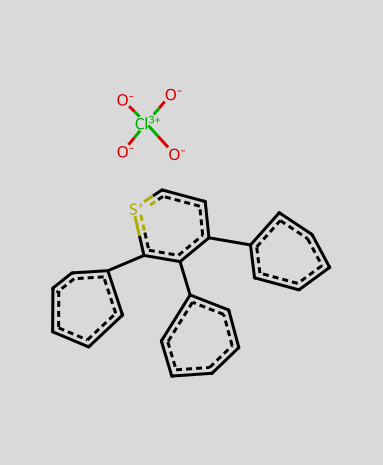 [O-][Cl+3]([O-])([O-])[O-].c1ccc(-c2cc[s+]c(-c3ccccc3)c2-c2ccccc2)cc1